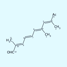 CC(=O)/C(C)=C/C(C)=C/C=C/C=C(\C)C=O